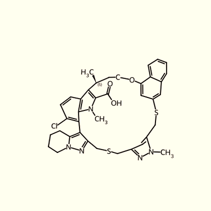 C[C@H]1CCOc2cc(cc3ccccc23)SCc2cc(nn2C)CSCc2nn3c(c2-c2c(Cl)ccc4c1c(C(=O)O)n(C)c24)CCCC3